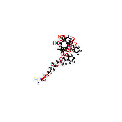 CC(=O)O[C@@]12COC1C[C@H](O)[C@@]1(C)C(=O)[C@H](O)C3=C(C)[C@@H](OC(=O)[C@H](OC(=O)COC(=O)CCCSOOON)[C@@H](C)c4ccccc4)C[C@@](O)(C(OC(=O)c4ccccc4)[C@@H]12)C3(C)C